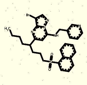 CCCCC(CCCS(=O)(=O)c1cccc2ccccc12)c1cc(NCc2cccnc2)n2ncc(Br)c2n1